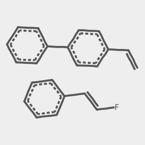 C=Cc1ccc(-c2ccccc2)cc1.FC=Cc1ccccc1